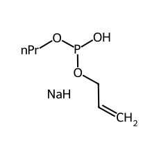 C=CCOP(O)OCCC.[NaH]